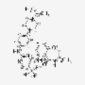 CC1COc2cccc(Nc3nc(Nc4ccc(N5CCN(C(C)C)CC5)cc4)ncc3C(F)(F)F)c2C(=O)N1